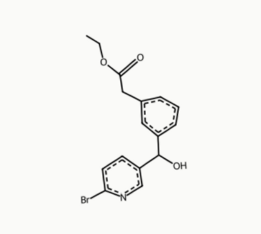 CCOC(=O)Cc1cccc(C(O)c2ccc(Br)nc2)c1